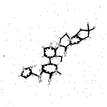 CCc1c(-c2cc(Nc3ccon3)c(=O)n(C)c2)ccnc1N1CCn2c(cc3c2CC(C)(C)C3)C1=O